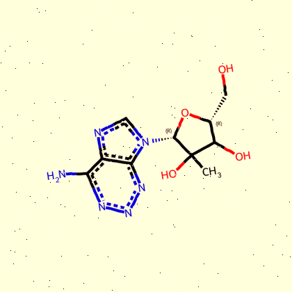 CC1(O)C(O)[C@@H](CO)O[C@H]1n1cnc2c(N)nnnc21